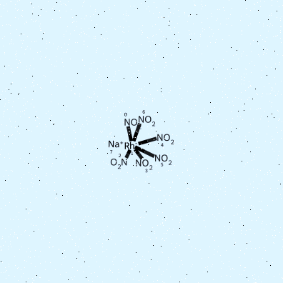 O=[N+]([O-])[Rh-]([N+](=O)[O-])([N+](=O)[O-])([N+](=O)[O-])([N+](=O)[O-])[N+](=O)[O-].[Na+]